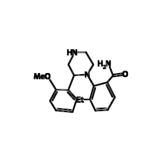 CCc1cccc(C(N)=O)c1N1CCNCC1c1ccccc1OC